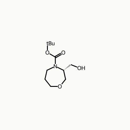 CC(C)(C)OC(=O)N1CCCOC[C@H]1CO